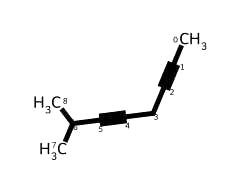 CC#CCC#C[C](C)C